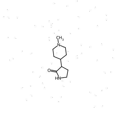 CN1CCC(C2CCNC2=O)CC1